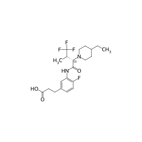 CCC1CCN([C@H](C(=O)Nc2cc(CCC(=O)O)ccc2F)C(C)C(F)(F)F)CC1